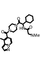 CNCC(=O)NC(C(=O)N1CCN(C(=O)c2ccn3nccc3c2C)CC1)C1CCCCC1